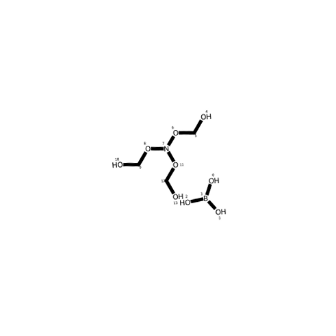 OB(O)O.OCON(OCO)OCO